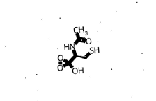 CC(=O)N[C@@H](CS)C1(O)OO1